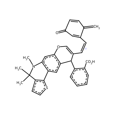 C=C1C=CC(=O)C=C1/C=C\C1=COc2cc3c(cc2C1c1ccccc1C(=O)O)-c1sccc1C(C)(C)N3C